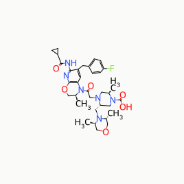 C[C@@H]1CN(CC(=O)N2c3cc(Cc4ccc(F)cc4)c(NC(=O)C4CC4)nc3OC[C@@H]2C)[C@@H](CN2[C@H](C)COC[C@H]2C)CN1C(=O)O